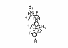 Cc1nc(C)n(-c2nc(N3C[C@@H](C)N(C(=O)N4N=CC[C@H]4c4cc(F)cc(C#N)c4)[C@@H](C)C3)ncc2F)n1